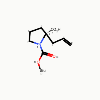 C=CC[C@]1(C(=O)O)CCCN1C(=O)OC(C)(C)C